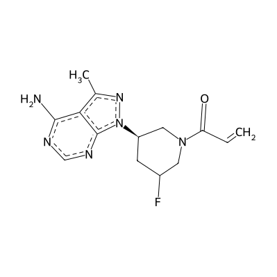 C=CC(=O)N1CC(F)C[C@@H](n2nc(C)c3c(N)ncnc32)C1